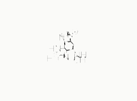 CNc1cc2c(no[n+]2[O-])c(NC)c1NC